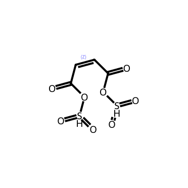 O=C(/C=C\C(=O)O[SH](=O)=O)O[SH](=O)=O